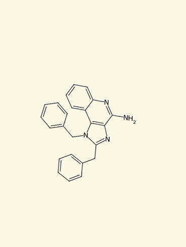 Nc1nc2ccccc2c2c1nc(Cc1ccccc1)n2Cc1ccccc1